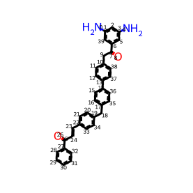 Nc1cc(N)cc(C(=O)Cc2ccc(-c3ccc(Cc4ccc(/C=C/C(=O)c5ccccc5)cc4)cc3)cc2)c1